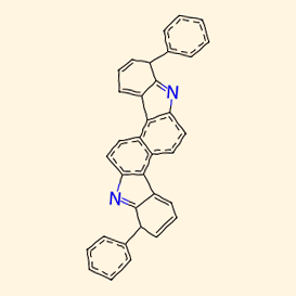 C1=CC(c2ccccc2)C2=Nc3ccc4c5c(ccc4c3C2=C1)N=C1C5=CC=CC1c1ccccc1